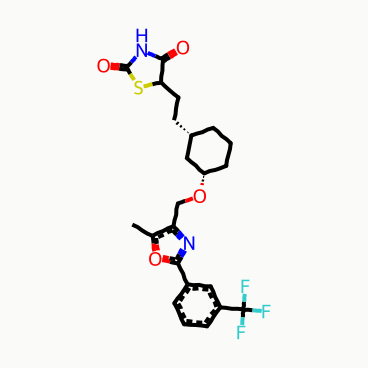 Cc1oc(-c2cccc(C(F)(F)F)c2)nc1CO[C@H]1CCC[C@@H](CCC2SC(=O)NC2=O)C1